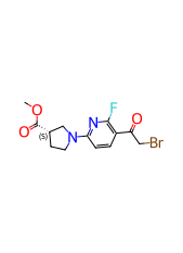 COC(=O)[C@H]1CCN(c2ccc(C(=O)CBr)c(F)n2)C1